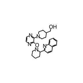 OCC1CCN(c2nccnc2ON2CCCCC2c2ccc3ccccc3n2)CC1